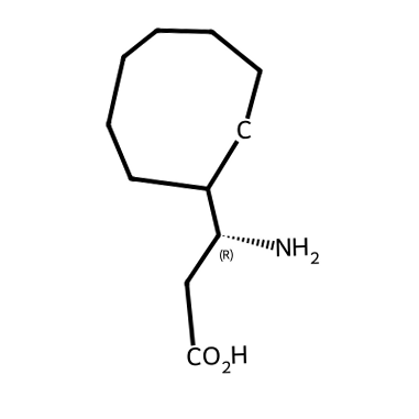 N[C@H](CC(=O)O)C1CCCCCCC1